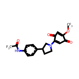 O=C1C=C(N2CCC(c3ccc(NC(=O)C(F)(F)F)cc3)C2)C(=O)C=C1OC(F)(F)F